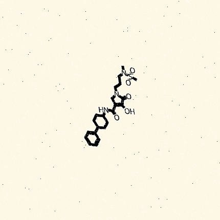 CN(CCCN1CC(C(=O)NC2CCC(c3ccccc3)CC2)=C(O)C1=O)S(C)(=O)=O